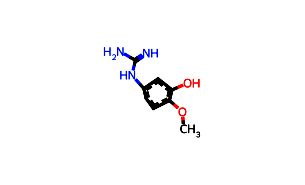 COc1ccc(NC(=N)N)cc1O